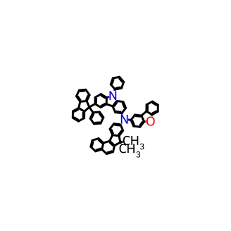 CC1(C)c2cc(N(c3ccc4oc5ccccc5c4c3)c3ccc4c(c3)c3cc(C5(c6ccccc6)c6ccccc6-c6ccccc65)ccc3n4-c3ccccc3)ccc2-c2c1ccc1ccccc21